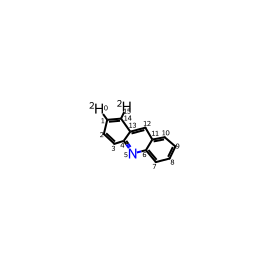 [2H]c1ccc2nc3ccccc3cc2c1[2H]